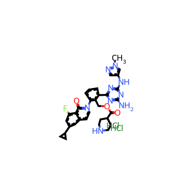 Cl.Cl.Cn1cc(Nc2nc(N)nc(-c3cccc(-n4ccc5cc(C6CC6)cc(F)c5c4=O)c3COC(=O)C3CCNCC3)n2)cn1